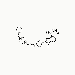 NC(=O)c1cccc2[nH]c(-c3ccc(OCCN4CCN(Cc5ccccc5)CC4)cc3)cc12